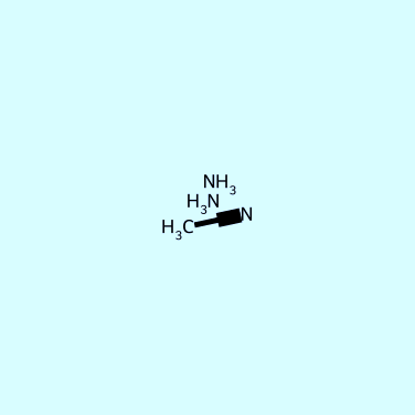 CC#N.N.N